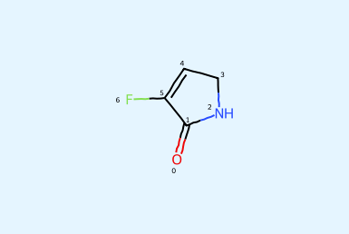 O=C1NCC=C1F